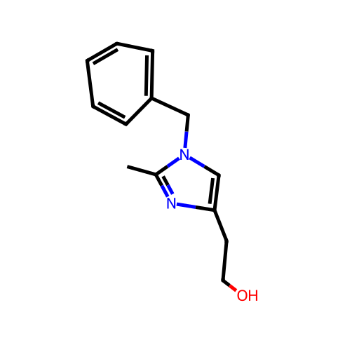 Cc1nc(CCO)cn1Cc1ccccc1